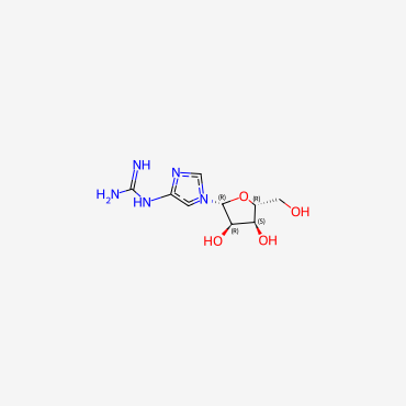 N=C(N)Nc1cn([C@@H]2O[C@H](CO)[C@@H](O)[C@H]2O)cn1